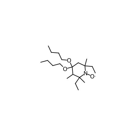 CCCCOC1(OCCCC)CC(C)(CC)N([O])C(C)(CC)C1C